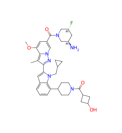 COc1cc(C(=O)N2C[C@H](N)C[C@@H](F)C2)cn2nc(-c3cc4cccc(C5CCN(C(=O)C6CC(O)C6)CC5)c4n3CC3CC3)c(C)c12